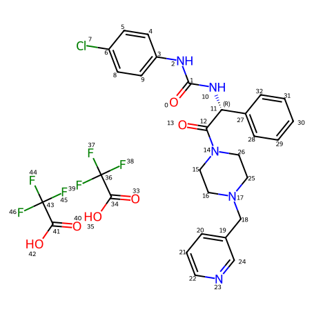 O=C(Nc1ccc(Cl)cc1)N[C@@H](C(=O)N1CCN(Cc2cccnc2)CC1)c1ccccc1.O=C(O)C(F)(F)F.O=C(O)C(F)(F)F